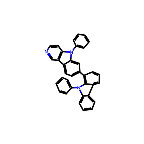 c1ccc(-n2c3ccncc3c3ccc(-c4cccc5c6ccccc6n(-c6ccccc6)c45)cc32)cc1